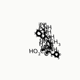 CCCC[C@H](NC(=O)[C@H](Cc1ccccc1)NC(=O)OC(C)(C)C(=O)N[C@@H](CC1CCCCC1)[C@@H](O)CNC(=O)NC(C)C)C(=O)O